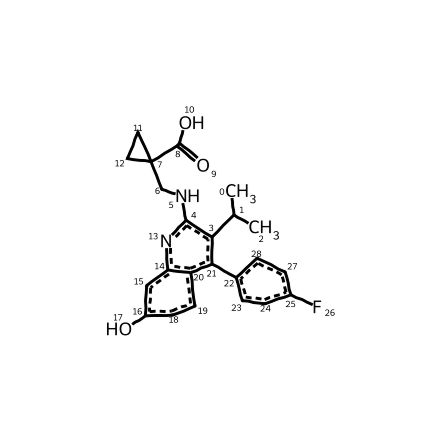 CC(C)c1c(NCC2(C(=O)O)CC2)nc2cc(O)ccc2c1-c1ccc(F)cc1